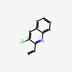 C=Cc1nc2ccccc2cc1Cl